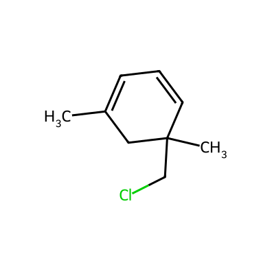 CC1=CC=CC(C)(CCl)C1